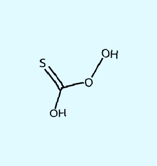 OOC(O)=S